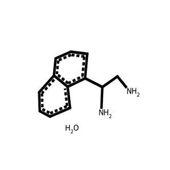 NCC(N)c1cccc2ccccc12.O